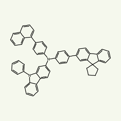 c1ccc(-n2c3ccccc3c3ccc(N(c4ccc(-c5ccc6c(c5)C5(CCCC5)c5ccccc5-6)cc4)c4ccc(-c5cccc6ccccc56)cc4)cc32)cc1